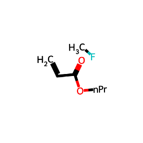 C=CC(=O)OCCC.CF